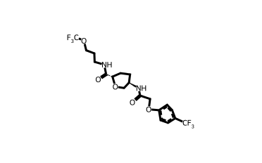 O=C(COc1ccc(C(F)(F)F)cc1)N[C@@H]1CC[C@@H](C(=O)NCCCOC(F)(F)F)OC1